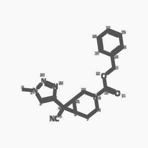 Cn1cc(C2(C#N)C3CCN(C(=O)OCc4ccccc4)CC32)nn1